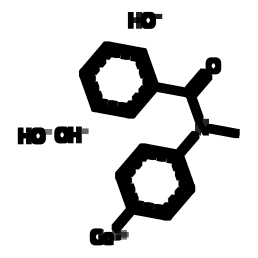 CN(C(=O)c1ccccc1)c1cc[c]([Ge+3])cc1.[OH-].[OH-].[OH-]